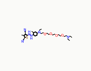 CCN(CC)CCOCCOCCOCCOCCN(CC)c1ccc(NNc2sc(C#N)c(C)c2C#N)c(C)c1